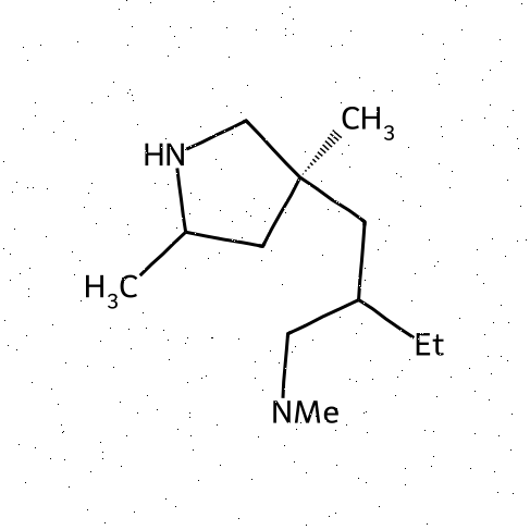 CCC(CNC)C[C@]1(C)CNC(C)C1